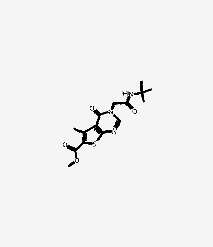 COC(=O)c1sc2ncn(CC(=O)NC(C)(C)C)c(=O)c2c1C